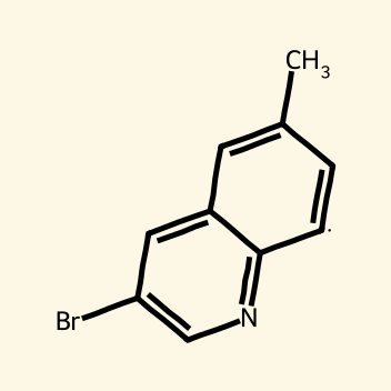 Cc1c[c]c2ncc(Br)cc2c1